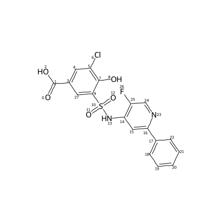 O=C(O)c1cc(Cl)c(O)c(S(=O)(=O)Nc2cc(-c3ccccc3)ncc2F)c1